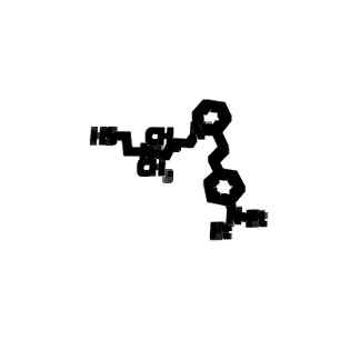 CCN(CC)c1ccc(/C=C/c2cccc[n+]2CCC[N+](C)(C)CCS)cc1